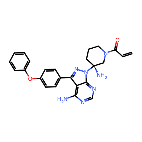 C=CC(=O)N1CCC[C@@](N)(n2nc(-c3ccc(Oc4ccccc4)cc3)c3c(N)ncnc32)C1